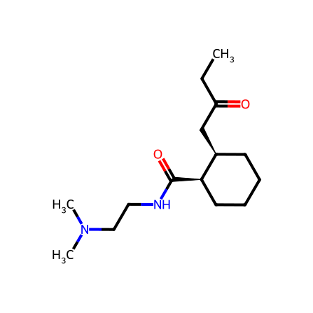 CCC(=O)C[C@H]1CCCC[C@H]1C(=O)NCCN(C)C